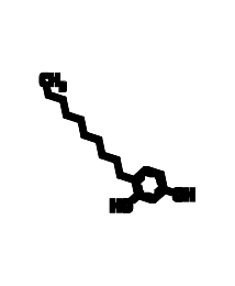 CCCCCCCCCCc1ccc(O)cc1O